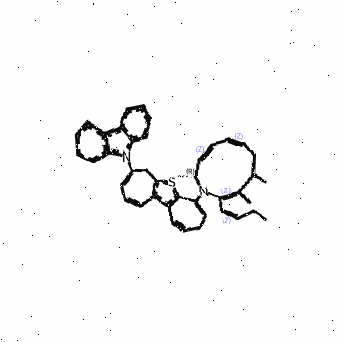 CC/C=C\C1=C(/C)C(C)C/C=C\C=C/[C@@H](C)N1C1=CCC=Cc2c1sc1c2C=CC=C(n2c3ccccc3c3ccccc32)C1